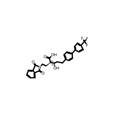 O=C(O)[C@H](CCN1C(=O)c2ccccc2C1=O)[C@H](O)CCc1ccc(-c2ccc(C(F)(F)F)cc2)cc1